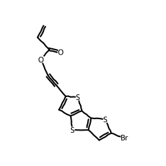 C=CC(=O)OC#Cc1cc2sc3cc(Br)sc3c2s1